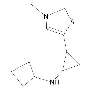 CN1C=C(C2CC2NC2CCC2)SC1